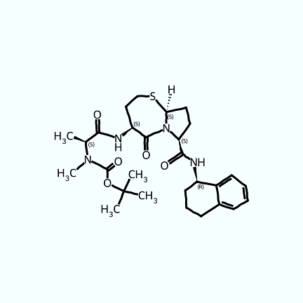 C[C@@H](C(=O)N[C@H]1CCS[C@H]2CC[C@@H](C(=O)N[C@@H]3CCCc4ccccc43)N2C1=O)N(C)C(=O)OC(C)(C)C